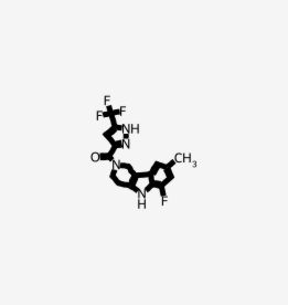 Cc1cc(F)c2[nH]c3c(c2c1)CN(C(=O)c1cc(C(F)(F)F)[nH]n1)CC3